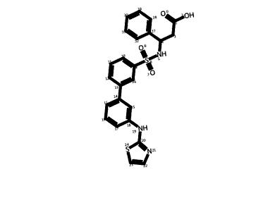 O=C(O)CC(NS(=O)(=O)c1cccc(-c2cccc(Nc3nccs3)c2)c1)c1ccccc1